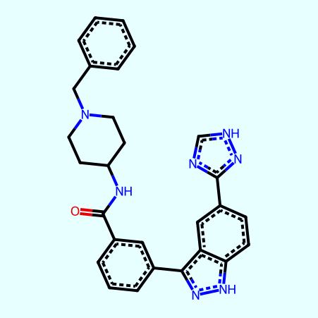 O=C(NC1CCN(Cc2ccccc2)CC1)c1cccc(-c2n[nH]c3ccc(-c4nc[nH]n4)cc23)c1